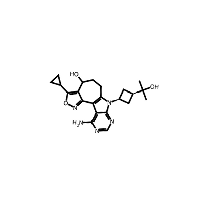 CC(C)(O)[C@H]1C[C@@H](n2c3c(c4c(N)ncnc42)-c2noc(C4CC4)c2C(O)CC3)C1